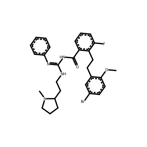 COc1ccc(Br)cc1CCc1c(F)cccc1C(=O)N/C(=N\c1ccccc1)NCCC1CCCN1C